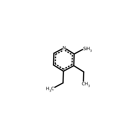 CCc1ccnc([SiH3])c1CC